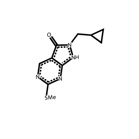 CSc1ncc2c(=O)n(CC3CC3)[nH]c2n1